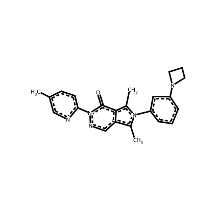 Cc1ccc(-n2ncc3c(C)n(-c4cccc(N5CCC5)c4)c(C)c3c2=O)nc1